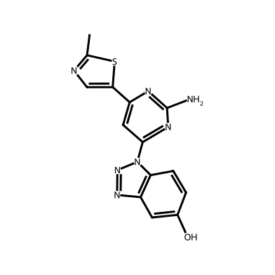 Cc1ncc(-c2cc(-n3nnc4cc(O)ccc43)nc(N)n2)s1